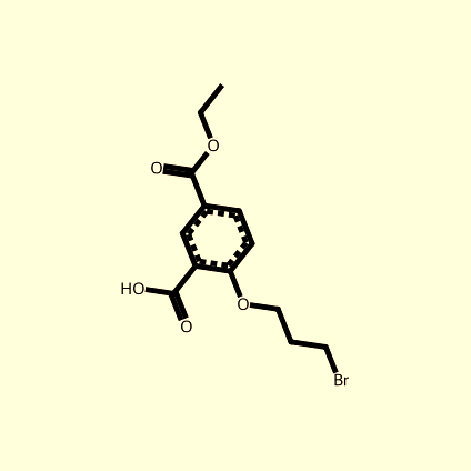 CCOC(=O)c1ccc(OCCCBr)c(C(=O)O)c1